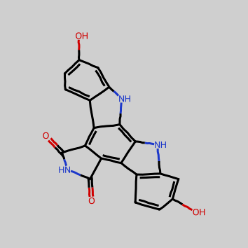 O=C1NC(=O)c2c1c1c3ccc(O)cc3[nH]c1c1[nH]c3cc(O)ccc3c21